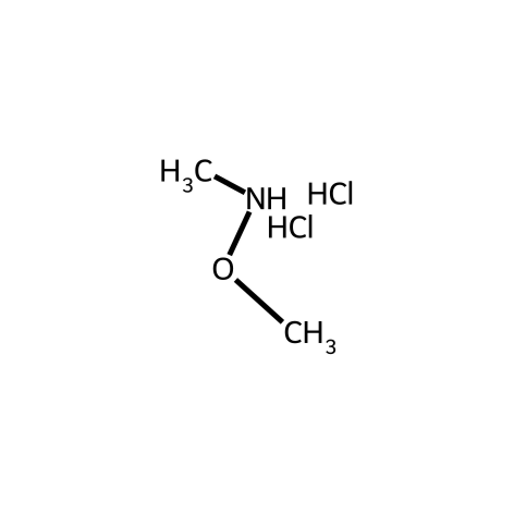 CNOC.Cl.Cl